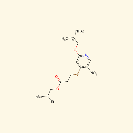 CCCCC(CC)COC(=O)CCSc1cc(OC[C@H](C)NC(C)=O)ncc1[N+](=O)[O-]